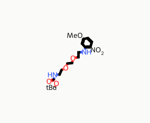 COc1ccc([N+](=O)[O-])c(NCCOCCOCCNC(=O)OC(C)(C)C)c1